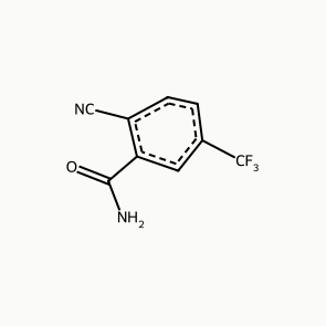 N#Cc1ccc(C(F)(F)F)cc1C(N)=O